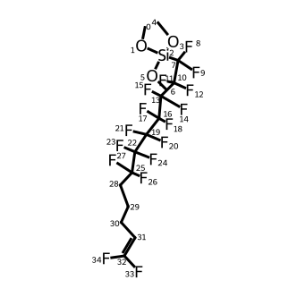 CO[Si](OC)(OC)C(F)(F)C(F)(F)C(F)(F)C(F)(F)C(F)(F)C(F)(F)C(F)(F)CCCC=C(F)F